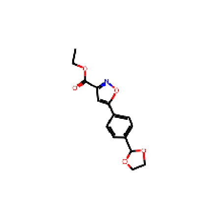 CCOC(=O)c1cc(-c2ccc(C3OCCO3)cc2)on1